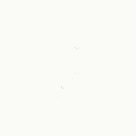 CC(C)(C)NP(=O)(OC(C)(C)C)SCCOC(=O)C(C)(C)CCN1CCOCC1